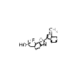 Cn1cc(-c2nc3ccc(CC(=O)O)c(F)c3o2)c2ccccc21